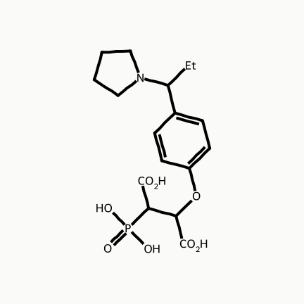 CCC(c1ccc(OC(C(=O)O)C(C(=O)O)P(=O)(O)O)cc1)N1CCCC1